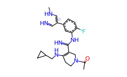 CN/C=C(\C=N)c1ccc(F)c(NC(=N)C2=C(NCC3CC3)CCN(C(C)=O)C2)c1